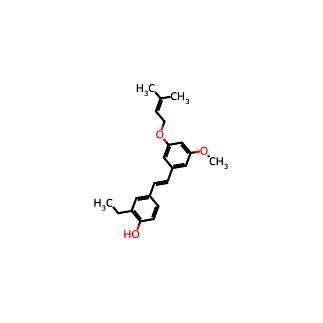 CCc1cc(C=Cc2cc(OC)cc(OCC=C(C)C)c2)ccc1O